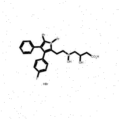 Br.CC(C)c1c(-c2ccccc2)c(-c2ccc(F)cc2)c(CCN(O)CC(O)CC(=O)O)n1C(C)C